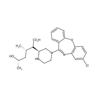 C[C@H](O)C[C@H](C)C(C(=O)O)[C@H]1CN(C2=Nc3cc(Cl)ccc3Oc3ccccc32)CCN1